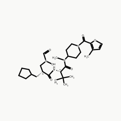 Cc1ccoc1C(=O)N1CCC(N(C)C(=O)[C@@H](NC(=O)[C@H](CC2CCCC2)CN(O)C=O)C(C)(C)C)CC1